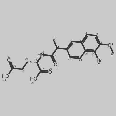 COc1ccc2cc(C(C)C(=O)N[C@@H](CCC(=O)O)C(=O)O)ccc2c1Br